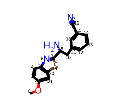 COc1ccc2nc(C(N)Cc3cccc(C#N)c3)sc2c1